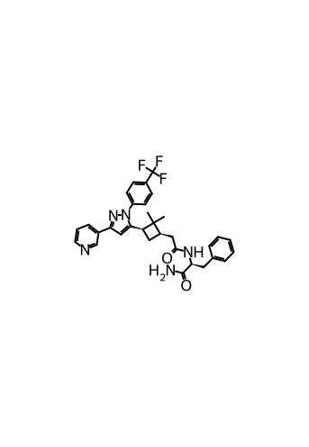 CC1(C)[C@@H](CC(=O)N[C@@H](Cc2ccccc2)C(N)=O)C[C@H]1c1cc(-c2cccnc2)nn1-c1ccc(C(F)(F)F)cc1